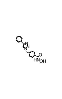 O=C(NO)c1ccc(Cn2cc(-c3ccccc3)nn2)cc1